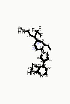 C=C(/C=C\C(=C/CCC)C(CCNC)C(F)(F)F)n1cc(-c2ccnc3[nH]cnc23)cn1